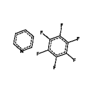 Fc1c(F)c(F)c(F)c(F)c1F.c1ccncc1